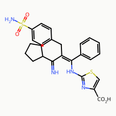 N=C(/C(Cc1ccc(S(N)(=O)=O)cc1)=C(\Nc1nc(C(=O)O)cs1)c1ccccc1)C1CCCC1